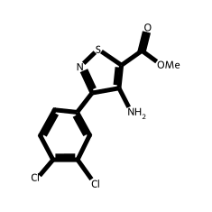 COC(=O)c1snc(-c2ccc(Cl)c(Cl)c2)c1N